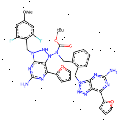 COc1cc(F)c(CN2NN(N(Cc3ccccc3Cn3nnc4c(-c5ccco5)nc(N)nc43)C(=O)OC(C)(C)C)c3c(-c4ccco4)nc(N)nc32)c(F)c1